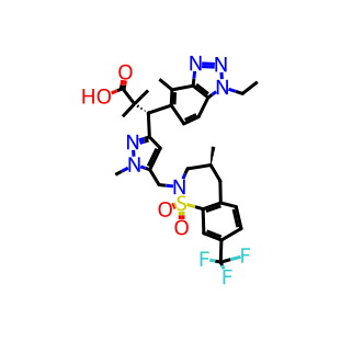 CCn1nnc2c(C)c([C@H](c3cc(CN4C[C@@H](C)Cc5ccc(C(F)(F)F)cc5S4(=O)=O)n(C)n3)C(C)(C)C(=O)O)ccc21